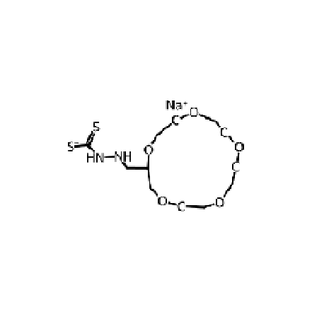 S=C([S-])NNCC1COCCOCCOCCOCCO1.[Na+]